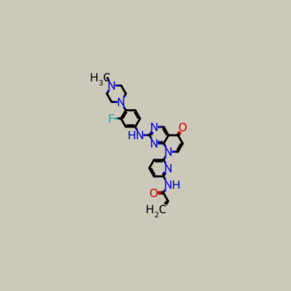 C=CC(=O)Nc1cccc(-n2ccc(=O)c3cnc(Nc4ccc(N5CCN(C)CC5)c(F)c4)nc32)n1